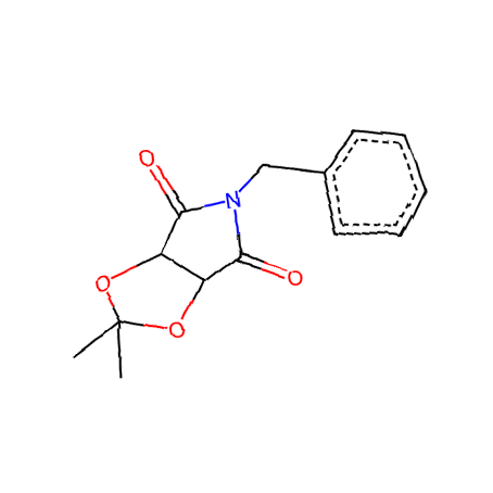 CC1(C)OC2C(=O)N(Cc3ccccc3)C(=O)C2O1